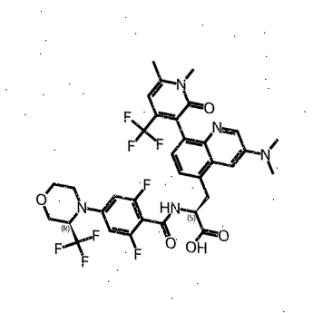 Cc1cc(C(F)(F)F)c(-c2ccc(C[C@H](NC(=O)c3c(F)cc(N4CCOC[C@@H]4C(F)(F)F)cc3F)C(=O)O)c3cc(N(C)C)cnc23)c(=O)n1C